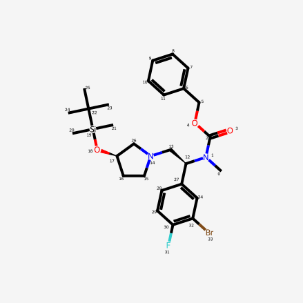 CN(C(=O)OCc1ccccc1)[C@H](CN1CC[C@@H](O[Si](C)(C)C(C)(C)C)C1)c1ccc(F)c(Br)c1